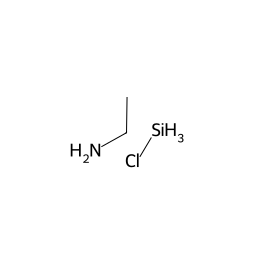 CCN.[SiH3]Cl